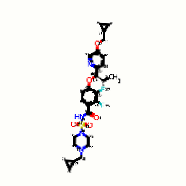 CC[C@@H](Oc1ccc(C(=O)NS(=O)(=O)N2CCN(CC3CC3)CC2)c(F)c1F)c1ccc(OCC2CC2)cn1